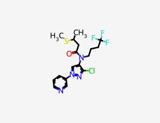 CSC(C)CC(=O)N(CCCC(F)(F)F)c1cn(-c2cccnc2)nc1Cl